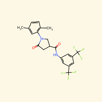 Cc1ccc(C)c(N2CC(C(=O)Nc3cc(C(F)(F)F)cc(C(F)(F)F)c3)CC2=O)c1